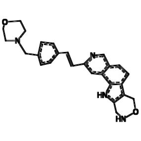 C(=C\c1cc2c(ccc3c4c([nH]c32)CNOC4)cn1)/c1ccc(CN2CCOCC2)cc1